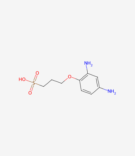 Nc1ccc(OCCCS(=O)(=O)O)c(N)c1